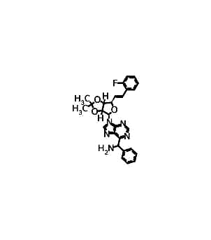 CC1(C)O[C@@H]2[C@H](O1)[C@@H](C=Cc1ccccc1F)O[C@H]2n1cnc2c(C(N)c3ccccc3)ncnc21